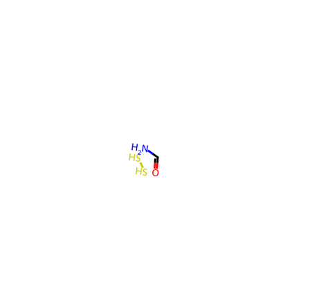 NC=O.SS